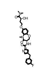 CN(C)C(=O)[C@H](O)CCOc1ccc2c(c1)N(C)C(=O)[C@@H](NC(=O)n1cc(Cc3cccc(F)c3)cn1)CO2